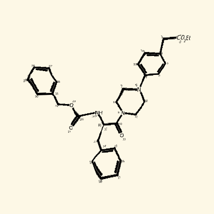 CCOC(=O)Cc1ccc(N2CCN(C(=O)[C@@H](Cc3ccccc3)NC(=O)OCc3ccccc3)CC2)cc1